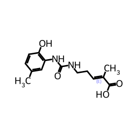 C/C(=C\CCNC(=O)Nc1cc(C)ccc1O)C(=O)O